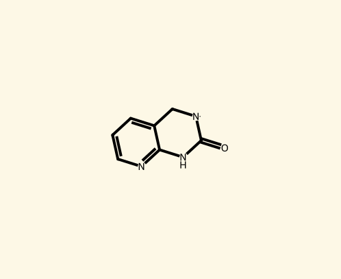 O=C1[N]Cc2cccnc2N1